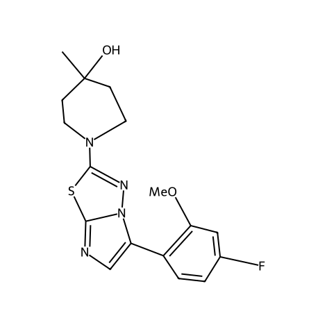 COc1cc(F)ccc1-c1cnc2sc(N3CCC(C)(O)CC3)nn12